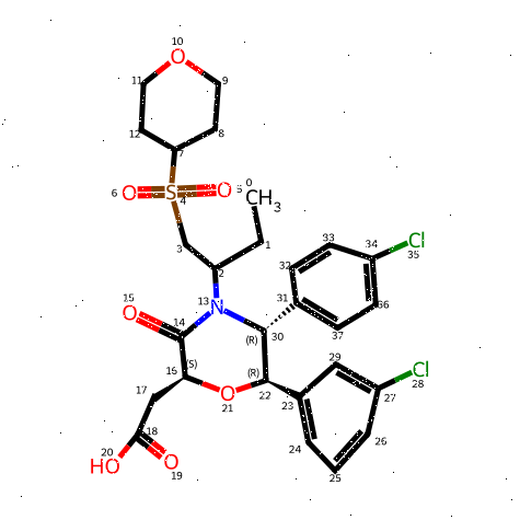 CCC(CS(=O)(=O)C1CCOCC1)N1C(=O)[C@H](CC(=O)O)O[C@H](c2cccc(Cl)c2)[C@H]1c1ccc(Cl)cc1